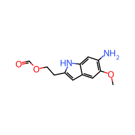 COc1cc2cc(CCOC=O)[nH]c2cc1N